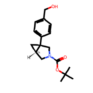 CC(C)(C)OC(=O)N1C[C@H]2CC2(c2ccc(CO)cc2)C1